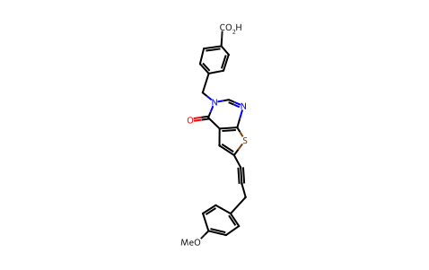 COc1ccc(CC#Cc2cc3c(=O)n(Cc4ccc(C(=O)O)cc4)cnc3s2)cc1